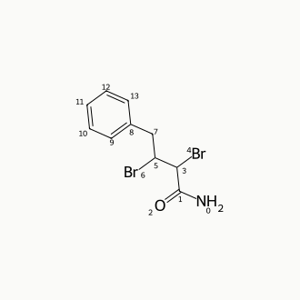 NC(=O)C(Br)C(Br)Cc1ccccc1